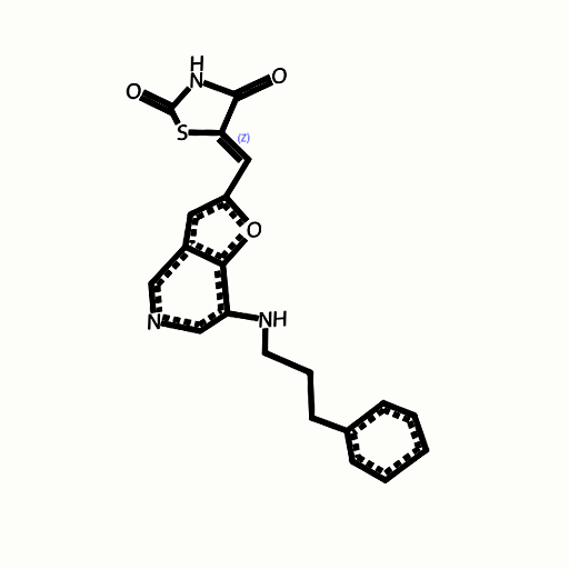 O=C1NC(=O)/C(=C/c2cc3cncc(NCCCc4ccccc4)c3o2)S1